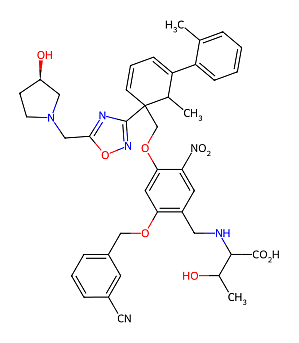 Cc1ccccc1C1=CC=CC(COc2cc(OCc3cccc(C#N)c3)c(CNC(C(=O)O)C(C)O)cc2[N+](=O)[O-])(c2noc(CN3CC[C@@H](O)C3)n2)C1C